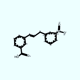 O=C(O)c1cccc(C=CCc2cccc([N+](=O)[O-])c2)c1